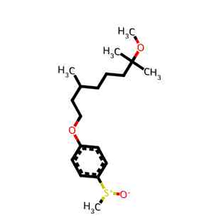 COC(C)(C)CCCC(C)CCOc1ccc([S+](C)[O-])cc1